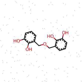 Oc1cccc(COCc2cccc(O)c2O)c1O